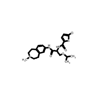 CC(C)OCC(NC(=O)c1ccc(Cl)s1)C(=O)Nc1ccc2c(c1)CCN(C)CC2